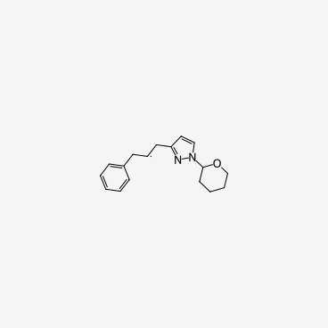 [CH](Cc1ccccc1)Cc1ccn(C2CCCCO2)n1